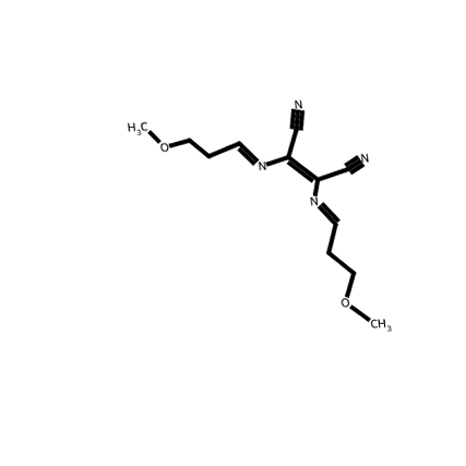 COCC/C=N/C(C#N)=C(C#N)\N=C\CCOC